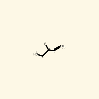 C=C[C](F)CO